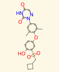 Cc1cc(-n2ncc(=O)[nH]c2=O)cc(C)c1Oc1ccc(O)c(S(=O)(=O)CC2CCC2)c1